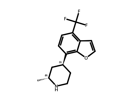 C[C@@H]1C[C@@H](c2ccc(C(F)(F)F)c3ccoc23)CCN1